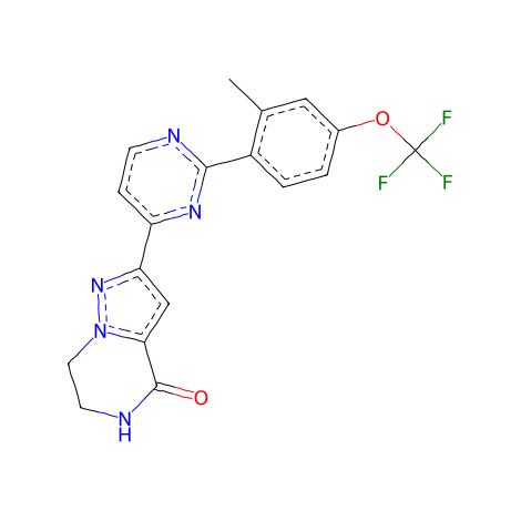 Cc1cc(OC(F)(F)F)ccc1-c1nccc(-c2cc3n(n2)CCNC3=O)n1